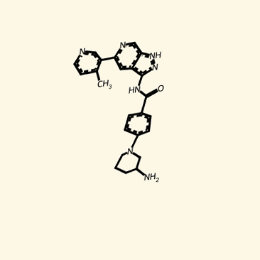 Cc1ccncc1-c1cc2c(NC(=O)c3ccc(N4CCCC(N)C4)cc3)n[nH]c2cn1